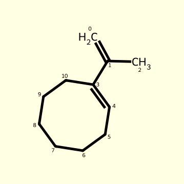 C=C(C)C1=CCCCCCC1